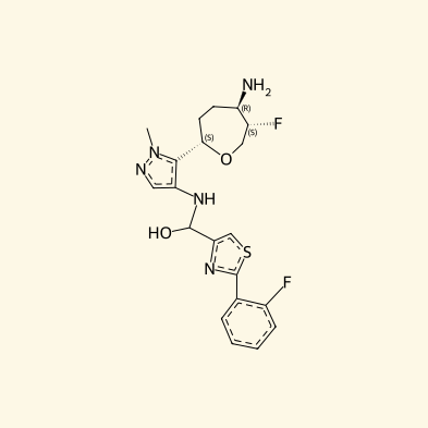 Cn1ncc(NC(O)c2csc(-c3ccccc3F)n2)c1[C@@H]1CC[C@@H](N)[C@H](F)CO1